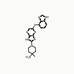 CC1(N)CCN(c2nc3nc(Sc4cccc5[nH]cnc45)cnc3[nH]2)CC1